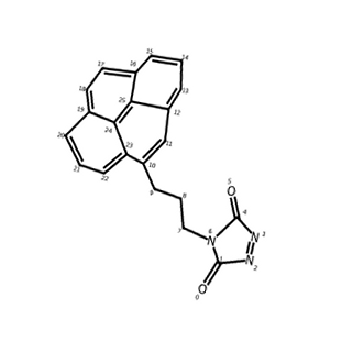 O=C1N=NC(=O)N1CCCc1cc2cccc3ccc4cccc1c4c32